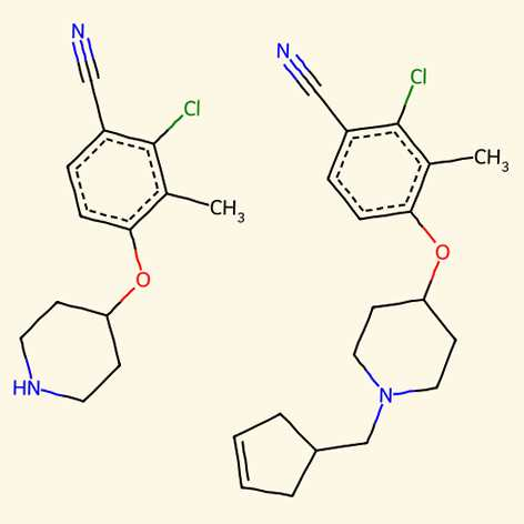 Cc1c(OC2CCN(CC3CC=CC3)CC2)ccc(C#N)c1Cl.Cc1c(OC2CCNCC2)ccc(C#N)c1Cl